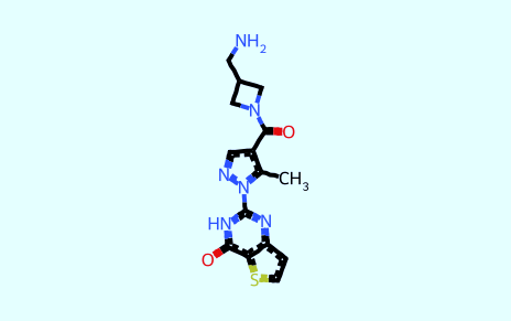 Cc1c(C(=O)N2CC(CN)C2)cnn1-c1nc2ccsc2c(=O)[nH]1